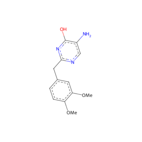 COc1ccc(Cc2ncc(N)c(O)n2)cc1OC